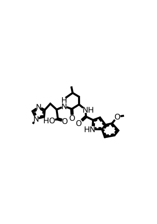 COc1cccc2[nH]c(C(=O)NC(CC(C)C)C(=O)NC(Cc3cn(C)cn3)C(=O)O)cc12